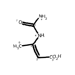 CC(=CC(=O)O)NC(N)=O